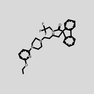 CCOc1cccc(N2CCN(CCCCC3(C(=O)NCC(F)(F)F)c4ccccc4-c4ccccc43)CC2)n1